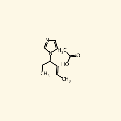 CC(=O)O.CC=CC(CC)n1ccnc1